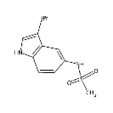 CC(C)c1c[nH]c2ccc(NS(C)(=O)=O)cc12